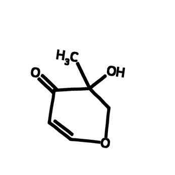 CC1(O)COC=CC1=O